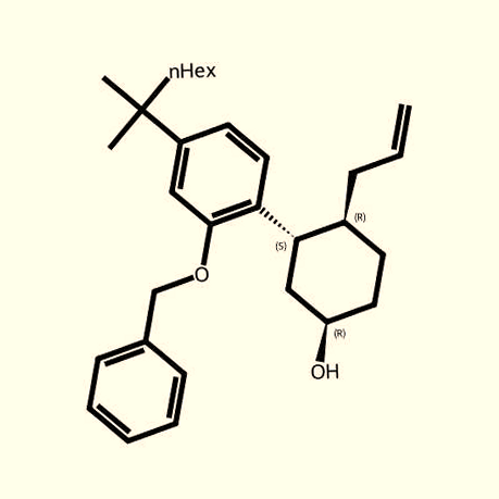 C=CC[C@H]1CC[C@@H](O)C[C@@H]1c1ccc(C(C)(C)CCCCCC)cc1OCc1ccccc1